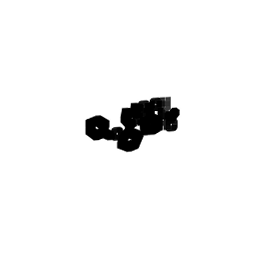 CC(=O)Nc1cccc(N2C(c3ccccc3OCc3ccccc3)C=CC2(C)Br)c1C(=O)O